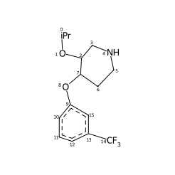 CC(C)OC1CNCCC1Oc1cccc(C(F)(F)F)c1